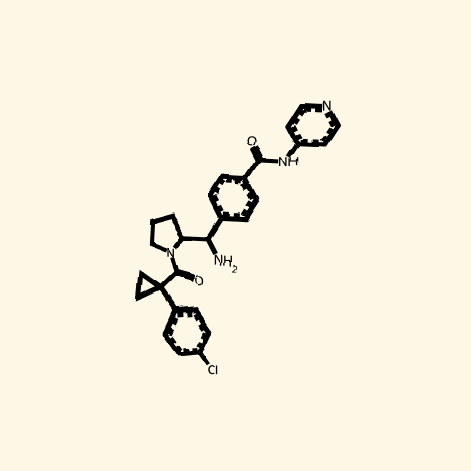 NC(c1ccc(C(=O)Nc2ccncc2)cc1)C1CCCN1C(=O)C1(c2ccc(Cl)cc2)CC1